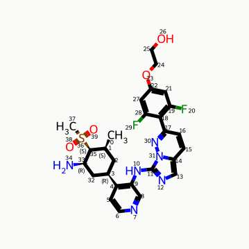 C[C@H]1C[C@@H](c2ccncc2Nc2ncc3ccc(-c4c(F)cc(OCCO)cc4F)nn23)C[C@@H](N)[C@H]1S(C)(=O)=O